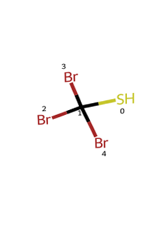 SC(Br)(Br)Br